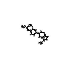 Cc1cnc2ccc(-c3ccc(OC(C)C)cc3)cn12